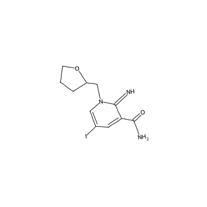 N=c1c(C(N)=O)cc(I)cn1CC1CCCO1